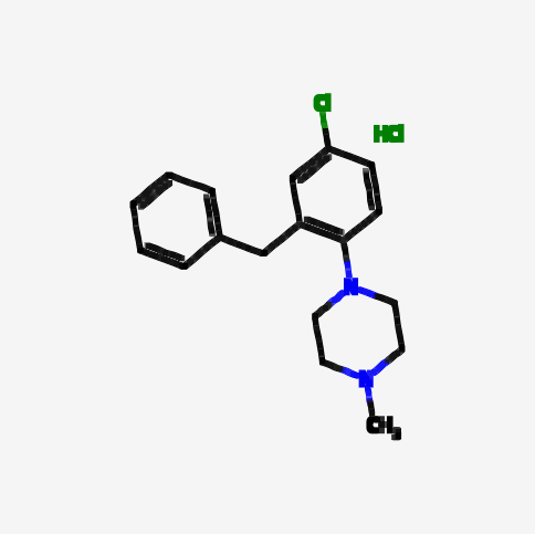 CN1CCN(c2ccc(Cl)cc2Cc2ccccc2)CC1.Cl